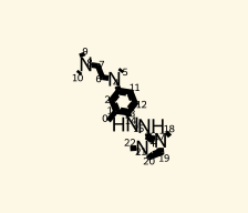 Cc1cc(N(C)CCN(C)C)ccc1NNc1n(C)cc[n+]1C